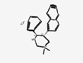 C[N+]1(C)CN[C@@H](c2ccccc2)[C@H](c2ccc3ccccc3c2)C1.[Cl-]